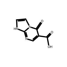 O=C(O)c1cnc2[nH]ccn2c1=O